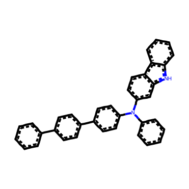 c1ccc(-c2ccc(-c3ccc(N(c4ccccc4)c4ccc5c(c4)[nH]c4ccccc45)cc3)cc2)cc1